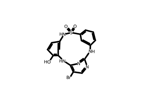 O=S1(=O)Nc2ccc(O)c(c2)Nc2nc(ncc2Br)Nc2cccc1c2